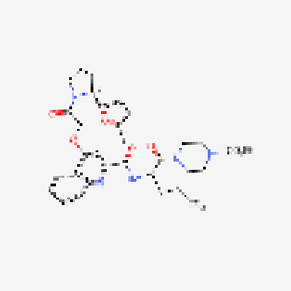 CCOC(=O)N1CCN(C(=O)C(CCC(=O)O)NC(=O)c2cc(OCC(=O)N3CCC[C@H]3c3ccc(C)o3)c3ccccc3n2)CC1